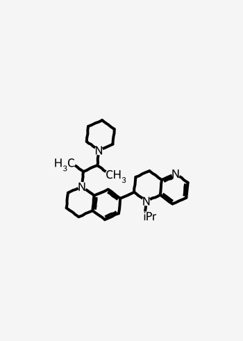 CC(C(C)N1CCCc2ccc(C3CCc4ncccc4N3C(C)C)cc21)N1CCCCC1